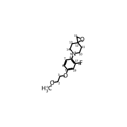 COCCOc1ccc(N2CCC3(CC2)CO3)c(F)c1